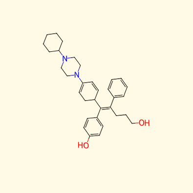 OCCC/C(=C(\c1ccc(O)cc1)C1C=CC(N2CCN(C3CCCCC3)CC2)=CC1)c1ccccc1